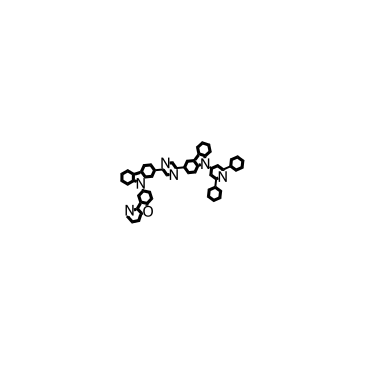 c1ccc(-c2cc(-n3c4ccccc4c4cc(-c5cnc(-c6ccc7c8ccccc8n(-c8ccc9oc%10cccnc%10c9c8)c7c6)cn5)ccc43)cc(-c3ccccc3)n2)cc1